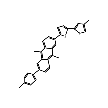 Cc1ccc(-c2ccc3c(C)c4cc(-c5ccc(-c6cc(C)cs6)s5)ccc4c(C)c3c2)cc1